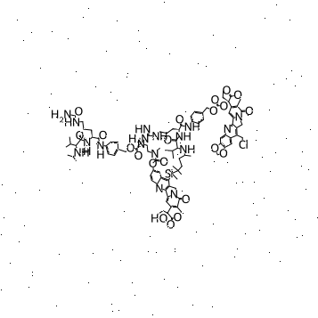 CC[C@@]1(O)C(=O)OCc2c1cc1n(c2=O)Cc2c-1nc1ccc(OC(=O)N(C)CCN(C)C(=O)OCc3ccc(NC(=O)[C@H](CCCNC(N)=O)NC(=O)[C@@H](NC(C)C)C(C)C)cc3)cc1c2[Si](C)(C)C(C)(C)CCC(C)N[C@H](C(=O)N[C@@H](CCCNC(=N)N)C(=O)Nc1ccc(COC(=O)O[C@]2(CC)C(=O)OCc3c2cc2n(c3=O)Cc3c-2nc2cc4c(cc2c3CCl)OCO4)cc1)C(C)C